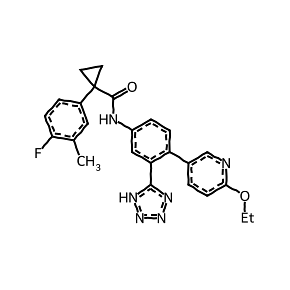 CCOc1ccc(-c2ccc(NC(=O)C3(c4ccc(F)c(C)c4)CC3)cc2-c2nnn[nH]2)cn1